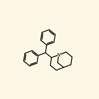 c1ccc(C(c2ccccc2)C2CCC3CCCN2C3)cc1